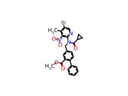 COC(=O)c1cc(CN(C(=O)C2CC2)c2ncc(Br)c(C)c2[N+](=O)[O-])ccc1-c1ccccc1